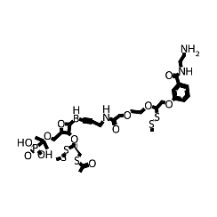 CSSC(COc1cccc(C(=O)NCCN)c1)OCCOCC(=O)NCC#CBC1OC(COC(C)(C)P(=O)(O)O)C1O[C@@H](CSC(C)=O)SSC